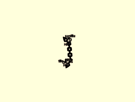 CC(C)(C)OC(=O)N1C(c2ncc(-c3ccc(-c4ccc(-c5cnc(C6CC7C[C@@H]7N6C(=O)OC(C)(C)C)[nH]5)cc4)cc3)[nH]2)CC2C[C@@H]21